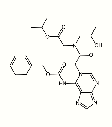 CC(O)CN(CC(=O)OC(C)C)C(=O)Cn1cnc2ncnc-2c1NC(=O)OCc1ccccc1